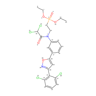 CCOP(=O)(CCN(C(=O)C(Cl)Cl)c1cccc(-c2cc(-c3c(Cl)cccc3Cl)no2)c1)OCC